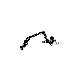 CCOC(=O)C1=C(Nc2ccccc2)S/C(=C\c2ccc(OCCOCCn3cc(COCCOCCOCCOCCN4CCN(c5ccc6cc(-c7cn8cc(C)nc(C)c8n7)c(=O)oc6c5)C[C@H]4C)nn3)c(O)c2)C1=O